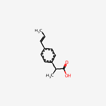 CC=Cc1ccc(C(C)C(=O)O)cc1